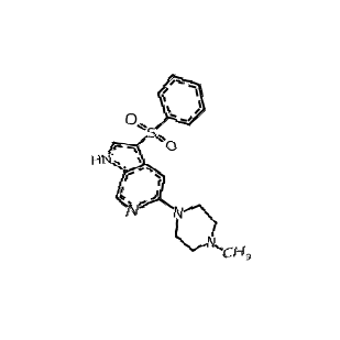 CN1CCN(c2cc3c(S(=O)(=O)c4ccccc4)c[nH]c3cn2)CC1